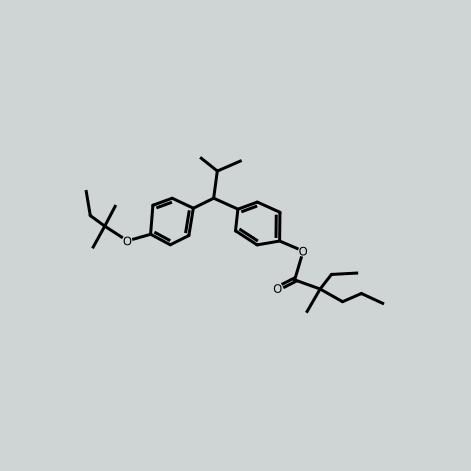 CCCC(C)(CC)C(=O)Oc1ccc(C(c2ccc(OC(C)(C)CC)cc2)C(C)C)cc1